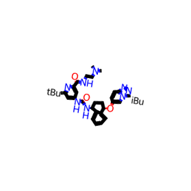 CC[C@H](C)c1nnc2ccc(O[C@@H]3CC[C@H](NC(=O)Nc4cc(C(=O)NCCN(C)C)nc(C(C)(C)C)c4)c4ccccc43)cn12